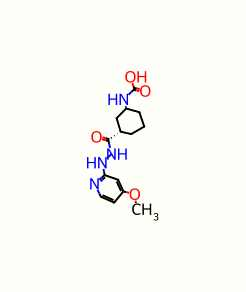 COc1ccnc(NNC(=O)[C@H]2CCC[C@@H](NC(=O)O)C2)c1